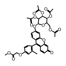 COC(=O)COc1ccc(-c2c3ccc(=O)cc-3oc3cc(O[C@@H]4OC(COC(C)=O)[C@H](OC(C)=O)[C@@H](OC(C)=O)C4OC(C)=O)ccc23)c(C)c1